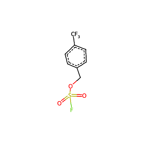 O=S(=O)(F)OCc1ccc(C(F)(F)F)cc1